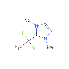 CCCN1N=CN(C#N)C1C(F)(F)C(F)(F)F